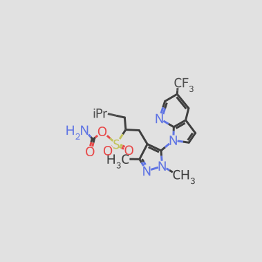 Cc1nn(C)c(-n2ccc3cc(C(F)(F)F)cnc32)c1CC(CC(C)C)S(=O)(=O)OC(N)=O